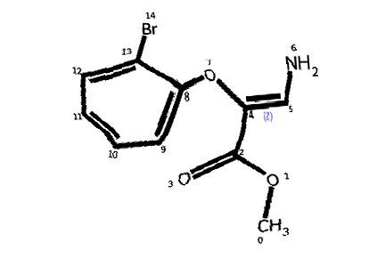 COC(=O)/C(=C/N)Oc1ccccc1Br